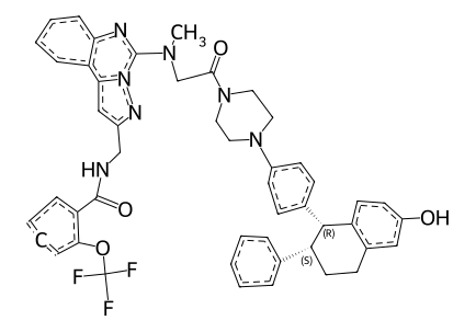 CN(CC(=O)N1CCN(c2ccc([C@@H]3c4ccc(O)cc4CC[C@@H]3c3ccccc3)cc2)CC1)c1nc2ccccc2c2cc(CNC(=O)c3ccccc3OC(F)(F)F)nn12